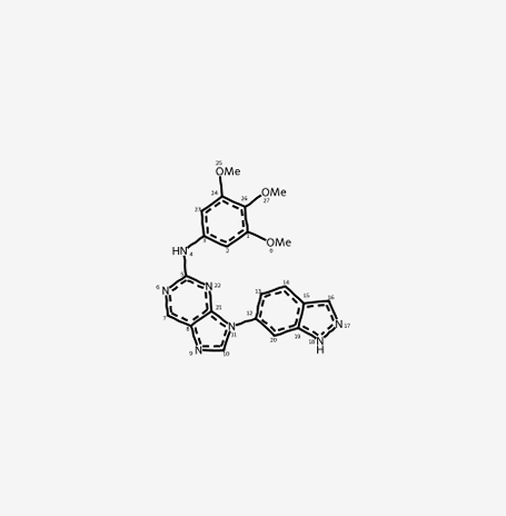 COc1cc(Nc2ncc3ncn(-c4ccc5cn[nH]c5c4)c3n2)cc(OC)c1OC